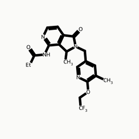 CCC(=O)Nc1nccc2c1C(C)N(Cc1cnc(OCC(F)(F)F)c(C)c1)C2=O